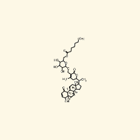 CCCCCCCCCCCCCCCC(=O)OCC1OC(OCC2=C(C)CC([C@@H](C)[C@H]3CC[C@H]4[C@@H]5CC6OC67C(O)C=CC(=O)[C@]7(C)[C@H]5CC[C@]34C)OC2=O)C(O)C(O)C1O